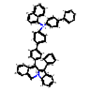 c1ccc(-c2ccc(N(c3ccc(-c4ccc(-c5c6ccccc6cn6c5c(-c5ccccc5)c5ccccc56)cc4)cc3)c3cccc4ccccc34)cc2)cc1